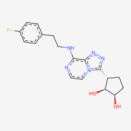 O[C@@H]1[C@H](O)CC[C@H]1c1nnc2c(NCCc3ccc(F)cc3)nccn12